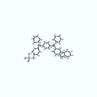 FC(F)(F)Sc1ccc(N(c2ccccc2)c2ccc(N(c3ccccc3)c3ccc4oc5ccccc5c4c3)cc2)cc1